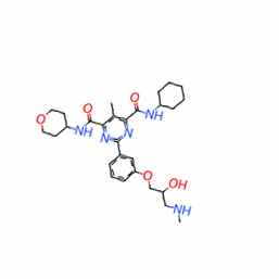 CNCC(O)COc1cccc(-c2nc(C(=O)NC3CCCCC3)c(C)c(C(=O)NC3CCOCC3)n2)c1